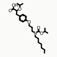 CCCCCCCN(CCCOc1ccc(CC(OC(C)C)C(=O)O)cc1)C(=O)OC(C)C